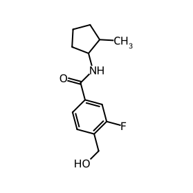 CC1CCCC1NC(=O)c1ccc(CO)c(F)c1